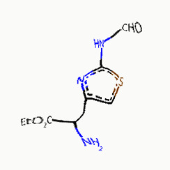 CCOC(=O)C(N)c1csc(NC=O)n1